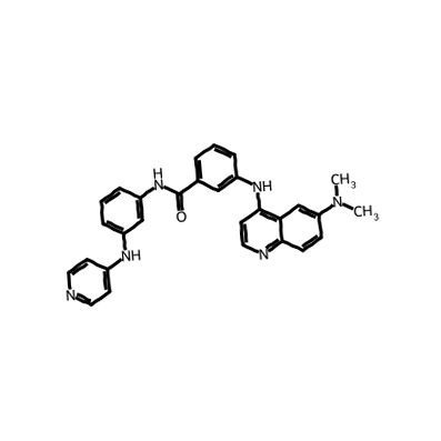 CN(C)c1ccc2nccc(Nc3cccc(C(=O)Nc4cccc(Nc5ccncc5)c4)c3)c2c1